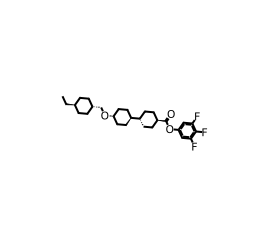 CC[C@H]1CC[C@H](CO[C@H]2CC[C@H]([C@H]3CC[C@H](C(=O)Oc4cc(F)c(F)c(F)c4)CC3)CC2)CC1